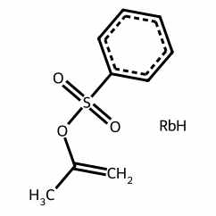 C=C(C)OS(=O)(=O)c1ccccc1.[RbH]